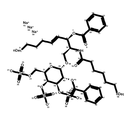 CCCCCCCCCCCCC/C=C/[C@@H](OC(=O)c1ccccc1)[C@H](CO[C@H]1O[C@H](COS(=O)(=O)[O-])[C@H](OS(=O)(=O)[O-])[C@H](OS(=O)(=O)[O-])[C@H]1OC(=O)c1ccccc1)NC(=O)CCCCCCCCCCCCCCC.[Na+].[Na+].[Na+]